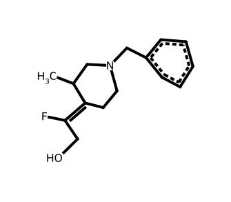 CC1CN(Cc2ccccc2)CCC1=C(F)CO